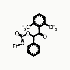 CCO[PH](=O)OC(C(=O)c1c(C(F)(F)F)cccc1C(F)(F)F)c1ccccc1